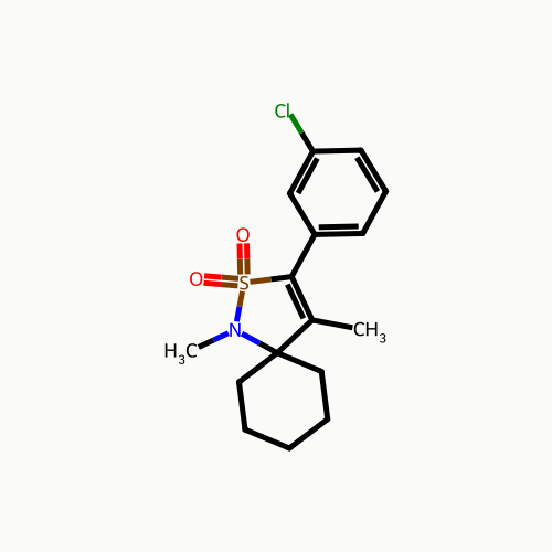 CC1=C(c2cccc(Cl)c2)S(=O)(=O)N(C)C12CCCCC2